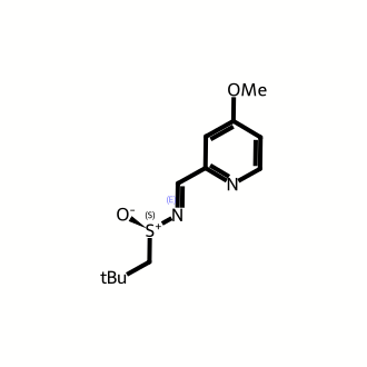 COc1ccnc(/C=N/[S@+]([O-])CC(C)(C)C)c1